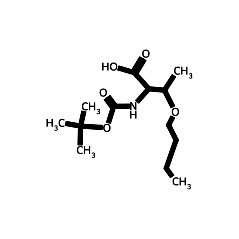 CCCCOC(C)C(NC(=O)OC(C)(C)C)C(=O)O